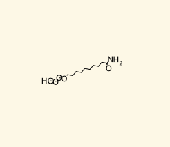 NC(=O)CCCCCCCCCOOOO